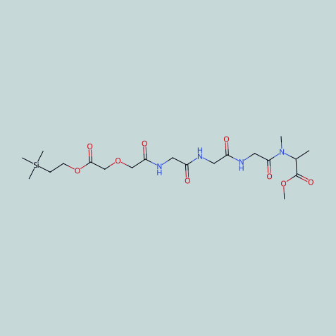 COC(=O)C(C)N(C)C(=O)CNC(=O)CNC(=O)CNC(=O)COCC(=O)OCC[Si](C)(C)C